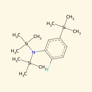 C[Si](C)(C)c1ccc(F)c(N([Si](C)(C)C)[Si](C)(C)C)c1